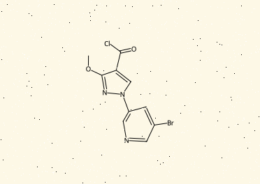 COc1nn(-c2cncc(Br)c2)cc1C(=O)Cl